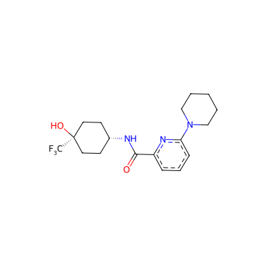 O=C(N[C@H]1CC[C@@](O)(C(F)(F)F)CC1)c1cccc(N2CCCCC2)n1